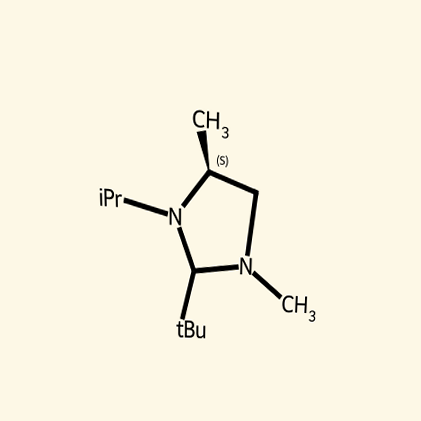 CC(C)N1C(C(C)(C)C)N(C)C[C@@H]1C